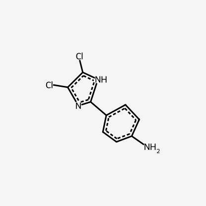 Nc1ccc(-c2nc(Cl)c(Cl)[nH]2)cc1